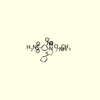 CNC(=O)C[C@H](CSc1ccccc1)Nc1ccc(S(N)(=O)=O)cc1[N+](=O)[O-]